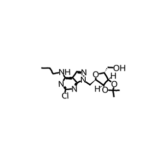 CCCNc1nc(Cl)nc2c1cnn2C[C@H]1O[C@H](CO)[C@H]2OC(C)(C)O[C@H]21